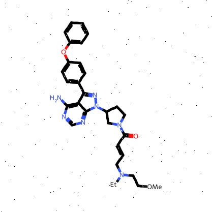 CCN(C/C=C/C(=O)N1CCC(n2nc(-c3ccc(Oc4ccccc4)cc3)c3c(N)ncnc32)C1)CCOC